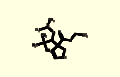 CCOC(=O)C1(C(O[SiH](C)C)C(C)(C)C)C=CNO1